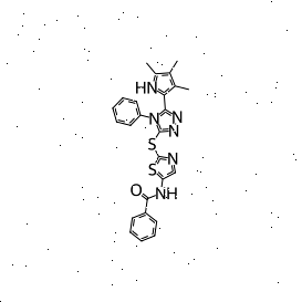 Cc1[nH]c(-c2nnc(Sc3ncc(NC(=O)c4ccccc4)s3)n2-c2ccccc2)c(C)c1C